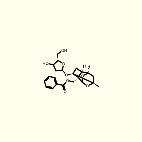 C[C@@]12C[C@H]3OC(O1)[C@]1(COC(=O)c4ccccc4)[C@H]3C[C@]21O[C@H]1CC(O)[C@@H](CO)O1